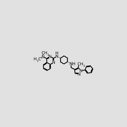 Cc1c(CN[C@H]2CC[C@@H](Nc3nc(N(C)C)c4ccccc4n3)CC2)cnn1-c1ccccc1